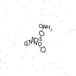 NC(=O)c1ccc(Sc2cnc(N3CCOCC3)nc2OCc2ccccc2)cc1